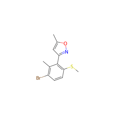 CSc1ccc(Br)c(C)c1-c1cc(C)on1